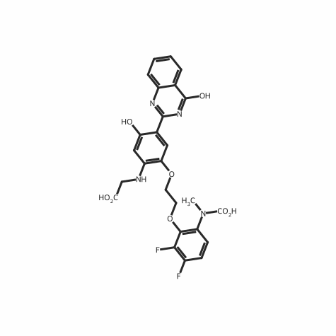 CN(C(=O)O)c1ccc(F)c(F)c1OCCOc1cc(-c2nc(O)c3ccccc3n2)c(O)cc1NCC(=O)O